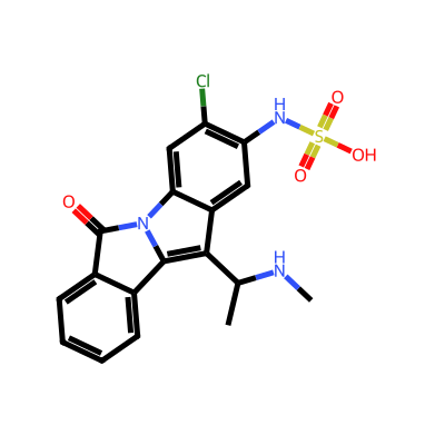 CNC(C)c1c2n(c3cc(Cl)c(NS(=O)(=O)O)cc13)C(=O)c1ccccc1-2